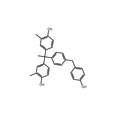 Cc1cc(C(C)(c2ccc(Cc3ccc(O)cc3)cc2)c2ccc(O)c(C)c2)ccc1O